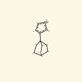 c1nc(C23CCC(CC2)CC3)n[nH]1